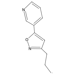 [CH2]CCc1cc(-c2cccnc2)on1